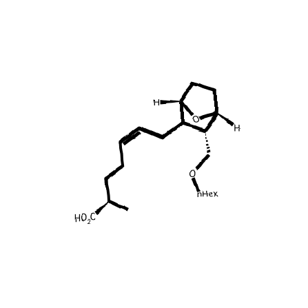 CCCCCCOC[C@@H]1C(C/C=C\CC[C@@H](C)C(=O)O)[C@@H]2CC[C@H]1O2